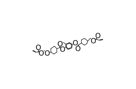 C=CC(=O)OCOC1CCC(C(=O)Oc2ccc(OC(=O)C3CCC(COC(=O)C=C)CC3)cc2C)CC1